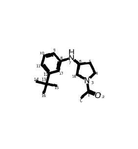 CC(=O)N1CCC(Nc2cccc(C(C)(C)C)c2)C1